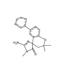 CN1C(=O)C2(CC(C)(C)Oc3ccc(-c4cccnc4)cc32)N=C1N